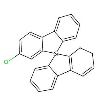 Clc1ccc2c(c1)[Si]1(C3=C(C=CCC3)c3ccccc31)c1ccccc1-2